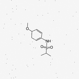 COC1C=CC(NS(=O)(=O)C(C)C)=CC1